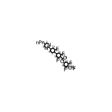 CCCc1cnc(-c2ccc(-c3cc(F)c(C(=O)Oc4cc(F)c(OCF)c(F)c4)c(F)c3)c(F)c2)nc1